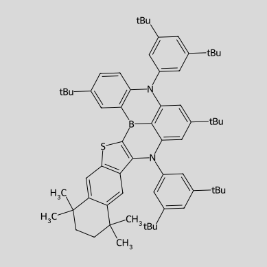 CC(C)(C)c1cc(N2c3ccc(C(C)(C)C)cc3B3c4sc5cc6c(cc5c4N(c4cc(C(C)(C)C)cc(C(C)(C)C)c4)c4cc(C(C)(C)C)cc2c43)C(C)(C)CCC6(C)C)cc(C(C)(C)C)c1